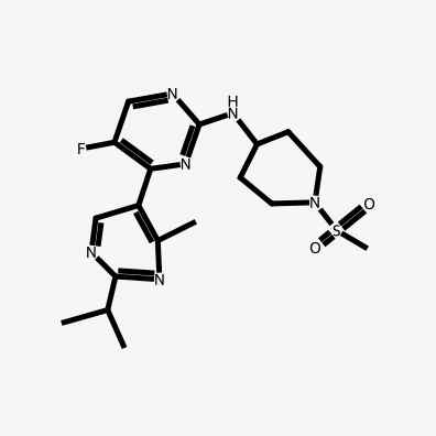 Cc1nc(C(C)C)ncc1-c1nc(NC2CCN(S(C)(=O)=O)CC2)ncc1F